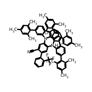 Cc1cc(C)c(-c2ccc3c4ccc(-c5c(C)cc(C)cc5C)cc4n(-c4cc(C#N)c(-c5ccccc5C(F)(F)F)cc4-n4c5cc(-c6c(C)cc(C)cc6C)ccc5c5ccc(-c6c(C)cc(C)cc6C)cc54)c3c2)c(C)c1